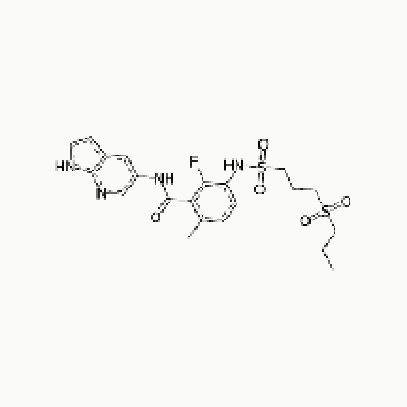 CCCS(=O)(=O)CCCS(=O)(=O)Nc1ccc(C)c(C(=O)Nc2cnc3[nH]ccc3c2)c1F